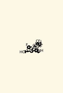 C[C@@H]1[C@H](I)c2c(C(F)(F)F)nn(CC(=O)N[C@@H](Cc3cc(F)cc(F)c3)C3=NC(C#CC(C)(C)O)CC=C3c3cnc4[nH]ccc4c3)c2C1(F)F